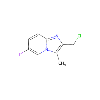 Cc1c(CCl)nc2ccc(I)cn12